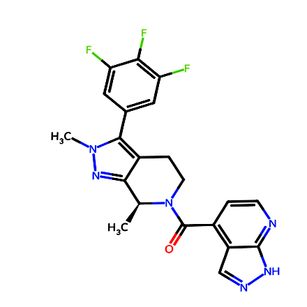 C[C@H]1c2nn(C)c(-c3cc(F)c(F)c(F)c3)c2CCN1C(=O)c1ccnc2[nH]ncc12